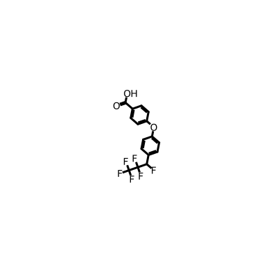 O=C(O)c1ccc(Oc2ccc(C(F)C(F)(F)C(F)(F)F)cc2)cc1